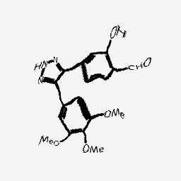 COc1cc(-c2n[nH]nc2-c2ccc(C=O)c(O)c2)cc(OC)c1OC